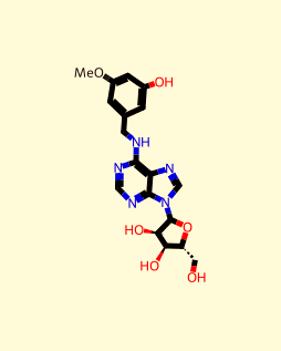 COc1cc(O)cc(CNc2ncnc3c2ncn3C2O[C@H](CO)[C@@H](O)[C@H]2O)c1